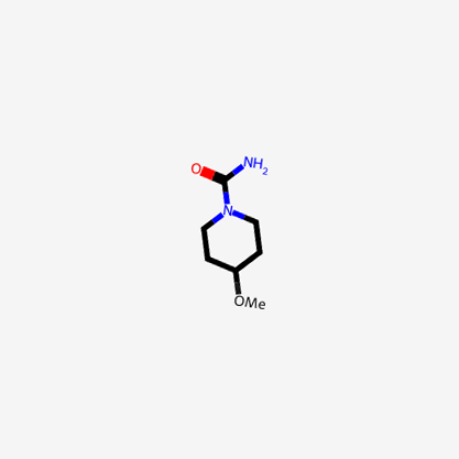 COC1CCN(C(N)=O)CC1